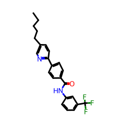 CCCCCc1ccc(-c2ccc(C(=O)Nc3cccc(C(F)(F)F)c3)cc2)nc1